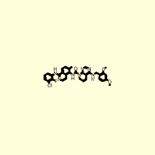 COc1ccc(CNc2ncnc3c2CCCN3C(=O)Nc2c(C)ccc3c(Nc4cccc(Cl)c4F)nccc23)c(OC)c1